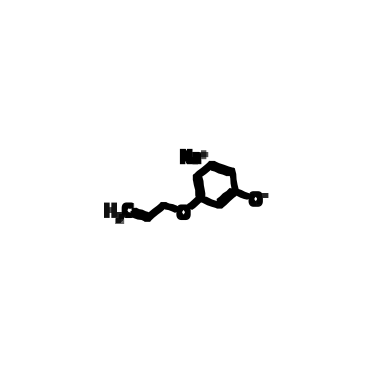 C=CCOc1cccc([O-])c1.[Na+]